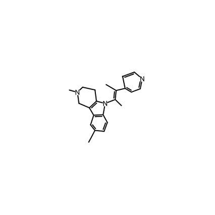 CC(=C(C)n1c2c(c3cc(C)ccc31)CN(C)CC2)c1ccncc1